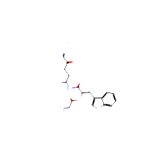 [N-]=[N+]=CC(=O)CCC(NC(=O)C(Cc1c[nH]c2ccccc12)OC(=O)CN)C(=O)O